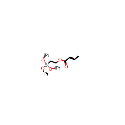 CC=CC(=O)OCC[Si](OC(C)C)(OC(C)C)OC(C)C